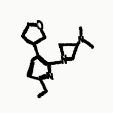 CCc1ccc(C2CCOC2)c(N2CC(N(C)C)C2)n1